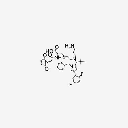 CC(C)(C)[C@H](c1cc(-c2cc(F)ccc2F)cn1Cc1ccccc1)N(CCCN)CCSC[C@H](NC(=O)CN1C(=O)C=CC1=O)C(=O)O